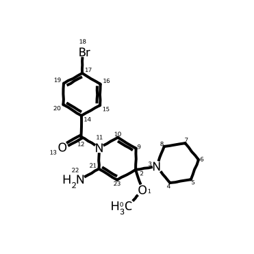 COC1(N2CCCCC2)C=CN(C(=O)c2ccc(Br)cc2)C(N)=C1